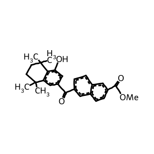 COC(=O)c1ccc2cc(C(=O)c3cc(O)c4c(c3)C(C)(C)CCC4(C)C)ccc2c1